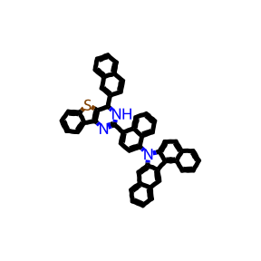 c1ccc2cc(C3NC(c4ccc(-n5c6cc7ccccc7cc6c6c7ccccc7ccc65)c5ccccc45)=Nc4c3sc3ccccc43)ccc2c1